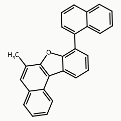 Cc1cc2ccccc2c2c1oc1c(-c3cccc4ccccc34)cccc12